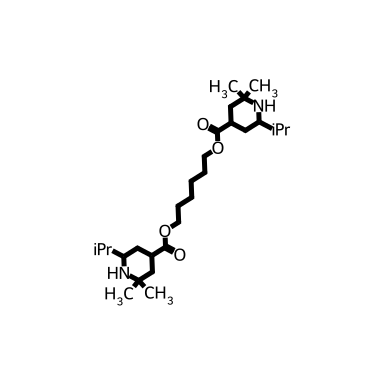 CC(C)C1CC(C(=O)OCCCCCCOC(=O)C2CC(C(C)C)NC(C)(C)C2)CC(C)(C)N1